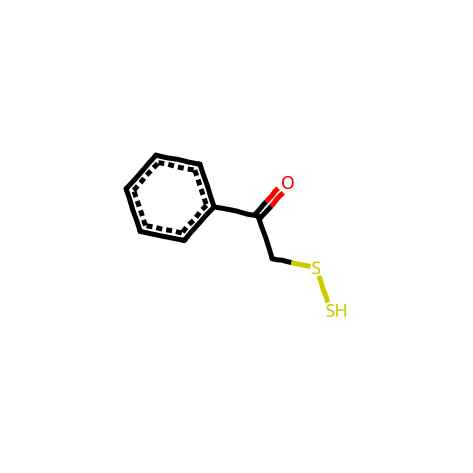 O=C(CSS)c1ccccc1